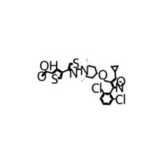 C[C@@H]1C[C@H](OCc2c(-c3c(Cl)cccc3Cl)noc2C2CC2)C[C@H](C)N1c1nc(-c2csc(C(=O)O)c2)cs1